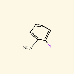 O=S(=O)(O)c1ccccc1I